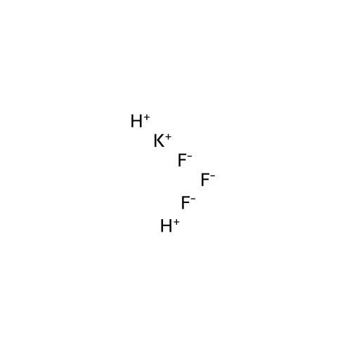 [F-].[F-].[F-].[H+].[H+].[K+]